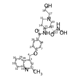 Cc1cc(COc2ccc(C(=O)N[C@@H]3CCN(CCO)C[C@@H]3C(=O)NO)cc2)c2ccccc2n1